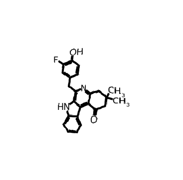 CC1(C)CC(=O)c2c(nc(Cc3ccc(O)c(F)c3)c3[nH]c4ccccc4c23)C1